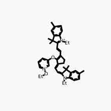 CCO[n+]1cccc(OC2=C(/C=C/C3=[N+](CC)c4ccc(C)cc4C3(C)C)CC/C2=C\C=C2\N(CC)c3ccc(C)cc3C2(C)C)c1